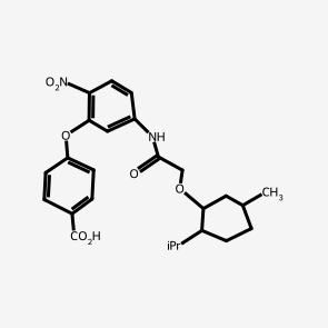 CC1CCC(C(C)C)C(OCC(=O)Nc2ccc([N+](=O)[O-])c(Oc3ccc(C(=O)O)cc3)c2)C1